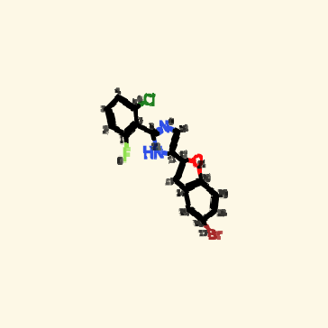 Fc1cccc(Cl)c1-c1ncc(-c2cc3cc(Br)ccc3o2)[nH]1